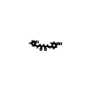 O=C(C=Cc1ccc(O)cc1)CC(=O)C=Cc1ncc[nH]1